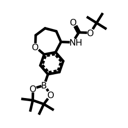 CC(C)(C)OC(=O)NC1CCCOc2cc(B3OC(C)(C)C(C)(C)O3)ccc21